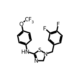 Fc1ccc(CN2CN=C(Nc3ccc(OC(F)(F)F)cc3)S2)cc1F